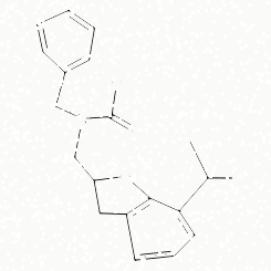 CC(C)c1cccc2c1OC(CN(Cc1ccccc1)C(=O)O)C2